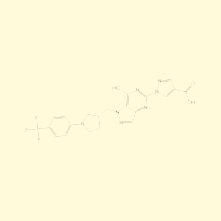 O=C(O)c1cnn(-c2nc(O)c3c(cnn3C[C@@H]3CCN(c4ccc(C(F)(F)F)cc4)C3)n2)c1